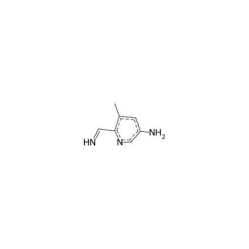 Cc1cc(N)cnc1C=N